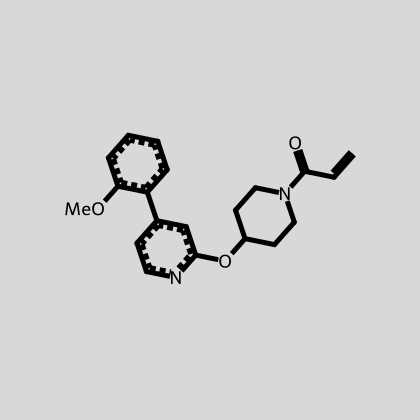 C=CC(=O)N1CCC(Oc2cc(-c3ccccc3OC)ccn2)CC1